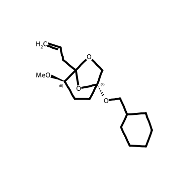 C=CCC12OC[C@@](OCC3CCCCC3)(CC[C@H]1OC)O2